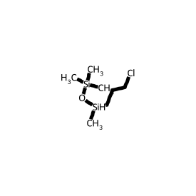 C[SiH](CCCCl)O[Si](C)(C)C